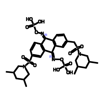 CC1CC(C)CN(S(=O)(=O)Cc2ccc3c(c2)/C(=N\OP(=O)(O)O)c2cc(S(=O)(=O)N4CC(C)CC(C)C4)ccc2/C3=N\OP(=O)(O)O)C1